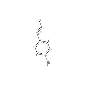 C/C=C/c1ccc(Br)cc1